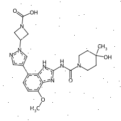 COc1ccc(-c2cnn(C3CN(C(=O)O)C3)c2)c2[nH]c(NC(=O)N3CCC(C)(O)CC3)nc12